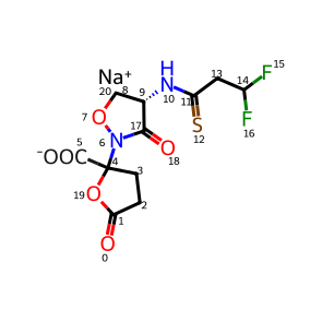 O=C1CCC(C(=O)[O-])(N2OC[C@H](NC(=S)CC(F)F)C2=O)O1.[Na+]